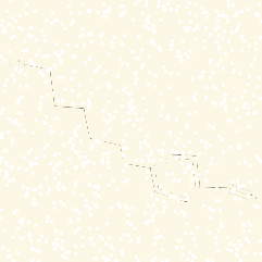 N#Cc1ccc(OCCCCCN)cc1